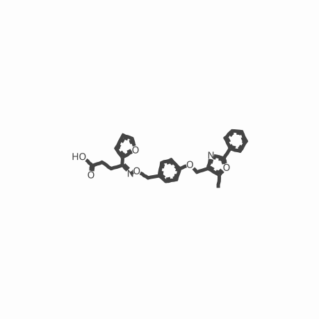 Cc1oc(-c2ccccc2)nc1COc1ccc(CON=C(CCC(=O)O)c2ccco2)cc1